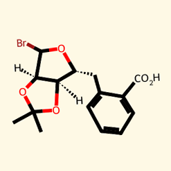 CC1(C)O[C@@H]2[C@@H](Cc3ccccc3C(=O)O)OC(Br)[C@@H]2O1